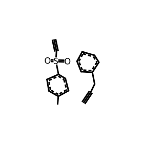 C#CCc1ccccc1.C#CS(=O)(=O)c1ccc(C)cc1